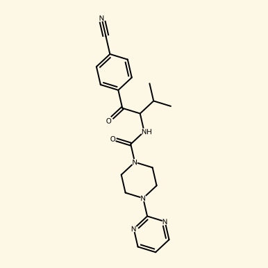 CC(C)C(NC(=O)N1CCN(c2ncccn2)CC1)C(=O)c1ccc(C#N)cc1